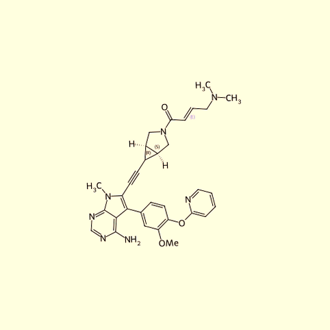 COc1cc(-c2c(C#CC3[C@H]4CN(C(=O)/C=C/CN(C)C)C[C@@H]34)n(C)c3ncnc(N)c23)ccc1Oc1ccccn1